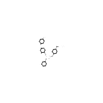 COC(=O)c1ccc(CNC[C@H](OCc2ccc(Oc3ccc(Cl)cc3)cc2F)c2ccccc2)cc1